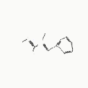 CCC(=N\O)/[PH](C)=C/c1ccccc1